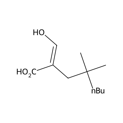 CCCCC(C)(C)CC(=CO)C(=O)O